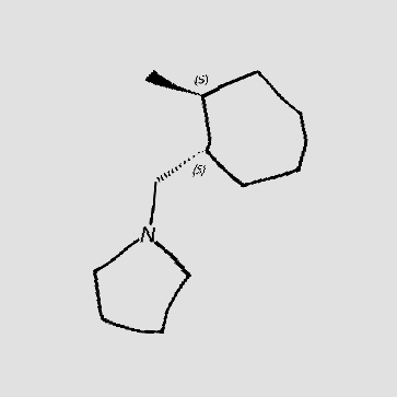 C[C@H]1CCCC[C@@H]1CN1CCCC1